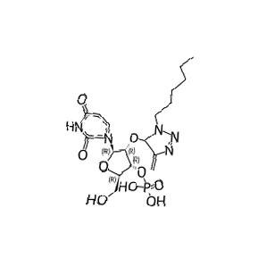 C=C1N=NN(CCCCCC)C1O[C@@H]1[C@H](OP(=O)(O)O)[C@@H](CO)O[C@H]1n1ccc(=O)[nH]c1=O